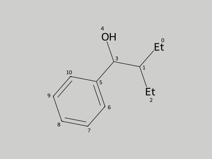 CCC(CC)C(O)c1ccccc1